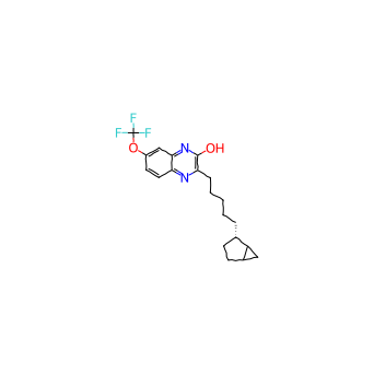 Oc1nc2cc(OC(F)(F)F)ccc2nc1CCCCC[C@H]1CCC2CC21